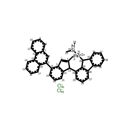 CC(C)C1=Cc2c(-c3cc4ccccc4c4ccccc34)cccc2C1c1cccc2c1[CH]([Zr+2][SiH](C)C)c1ccccc1-2.[Cl-].[Cl-]